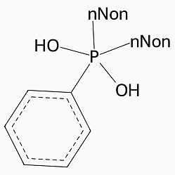 CCCCCCCCCP(O)(O)(CCCCCCCCC)c1ccccc1